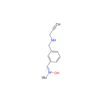 C#CCNCc1cccc(/C=[N+](\O)C(C)(C)C)c1